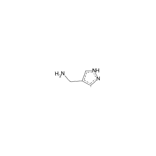 NCc1[c]n[nH]c1